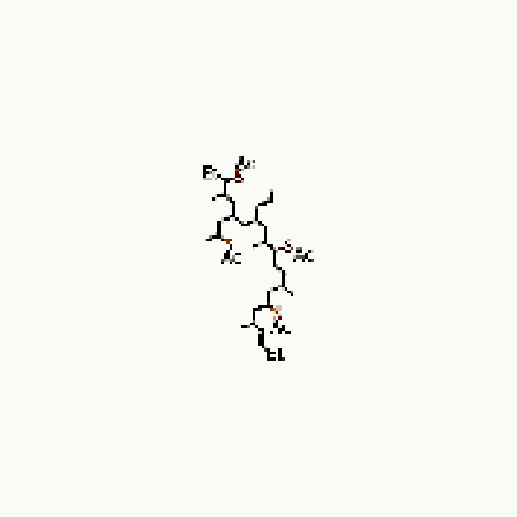 C/C=C/C(CC(CC(C)SC(C)=O)CC(C)C(CC)SC(C)=O)CC(C)C(CCC(C)CC(CC(C)/C=C/CC)SC(C)=O)SC(C)=O